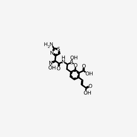 Nc1nc(/C(=N/O)C(=O)NC2Cc3ccc(/C=C/C(=O)O)c(C(=O)O)c3OB2O)cs1